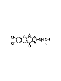 C[C@@H](O)CNc1nc2c(c(=O)n(Cc3ccc(Cl)c(Cl)c3)c(=O)n2C)n1C